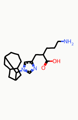 NCCCC(Cc1cn(C2C3CCCC4CC2CC4C3)cn1)C(=O)O